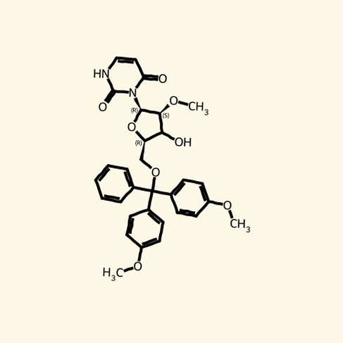 COc1ccc(C(OC[C@H]2O[C@@H](n3c(=O)cc[nH]c3=O)[C@@H](OC)C2O)(c2ccccc2)c2ccc(OC)cc2)cc1